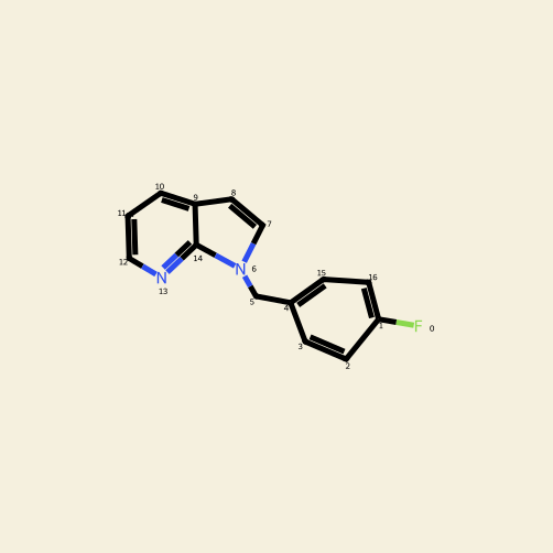 Fc1ccc(Cn2ccc3c[c]cnc32)cc1